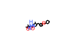 Cc1onc(NC(=O)N2CCC(=Cc3cccc(OCC4CC=CCC4)c3)C(C)C2)c1C